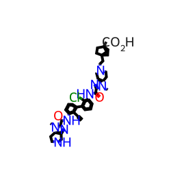 C#Cc1c(NC(=O)c2nc3c(n2C)CCNC3)cccc1-c1cccc(NC(=O)c2nc3c(n2C)CCN(CCC24CCC(C(=O)O)(CC2)C4)C3)c1Cl